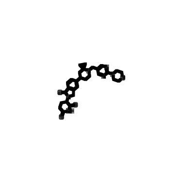 O=C1CCC(N2Cc3cc(C4CCN(Cc5cnc(N6CCOCC6)nc5)C5(CC5)C4)ccc3C2=O)C(=O)N1